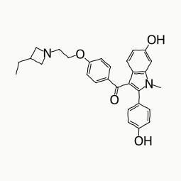 CCC1CN(CCOc2ccc(C(=O)c3c(-c4ccc(O)cc4)n(C)c4cc(O)ccc34)cc2)C1